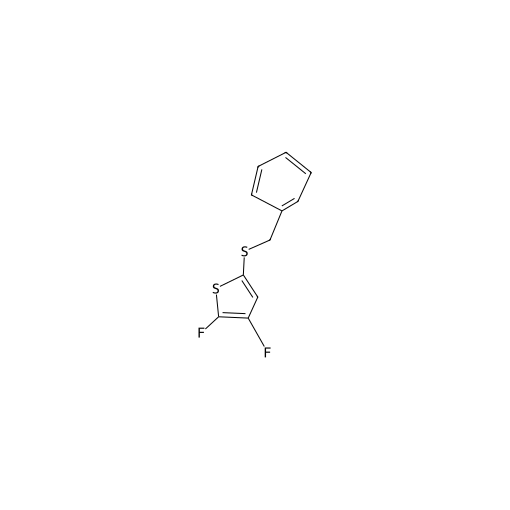 Fc1cc(SCc2ccccc2)sc1F